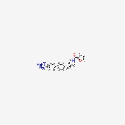 O=C([C@H]1CCCO1)N1CCC2(CC1)C[C@@H]2c1ccc(-c2ccc(-c3nn[nH]n3)cc2)cc1